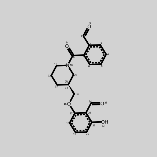 O=Cc1ccccc1C(=O)N1CCC[C@H](COc2cccc(O)c2C=O)C1